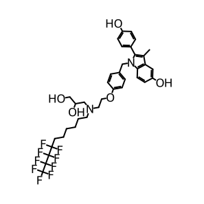 Cc1c(-c2ccc(O)cc2)n(Cc2ccc(OCCN(CCCCCCC(F)(F)C(F)(F)C(F)(F)C(F)(F)F)CC(O)CO)cc2)c2ccc(O)cc12